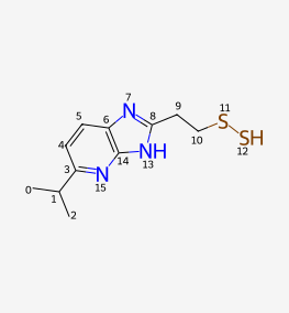 CC(C)c1ccc2nc(CCSS)[nH]c2n1